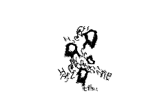 COc1c(C(C)(C)C)cc(C)cc1[Si](C)(C)C1=[C]([Sc]([CH2]c2ccccc2N(C)C)[CH2]c2ccccc2N(C)C)C=CC1